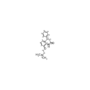 CN(C)CCOc1cccc2c1NC(=O)CC2c1ccccc1